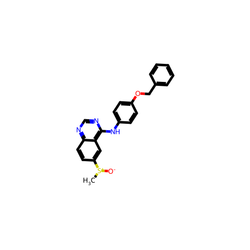 C[S+]([O-])c1ccc2ncnc(Nc3ccc(OCc4ccccc4)cc3)c2c1